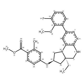 CC[C@@]12CNc3nnc(-c4cccc(F)c4OC)cc3N1C[C@H](Oc1cc(C)c(C(=O)OC)cn1)C2